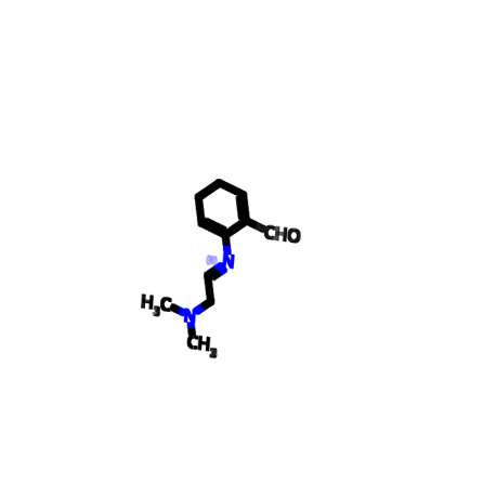 CN(C)C/C=N/C1=CCCC=C1C=O